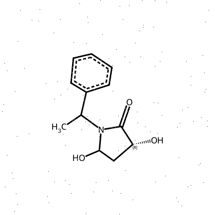 CC(c1ccccc1)N1C(=O)[C@H](O)CC1O